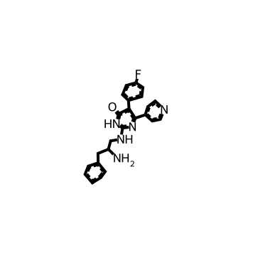 NC(CNc1nc(-c2ccncc2)c(-c2ccc(F)cc2)c(=O)[nH]1)Cc1ccccc1